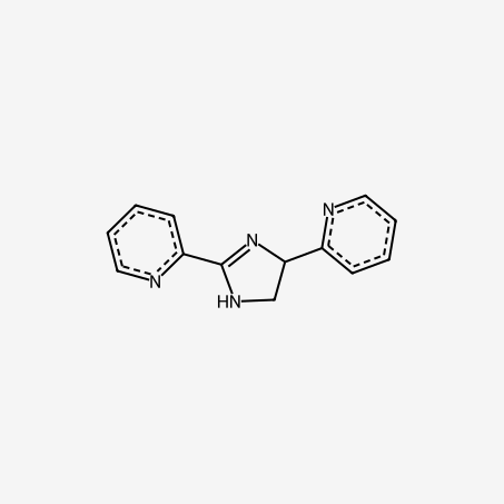 c1ccc(C2=NC(c3ccccn3)CN2)nc1